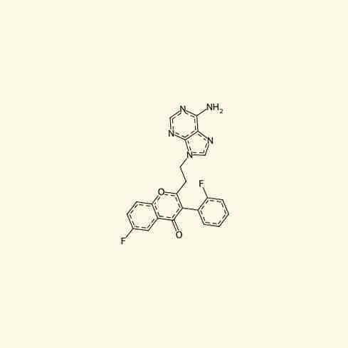 Nc1ncnc2c1ncn2CCc1oc2ccc(F)cc2c(=O)c1-c1ccccc1F